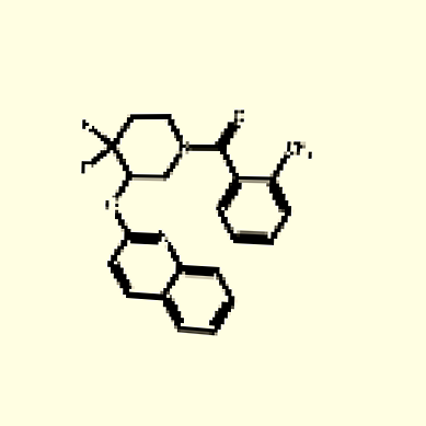 O=C(c1ccccc1C(F)(F)F)N1CCC(F)(F)C(Oc2ccc3ccccc3n2)C1